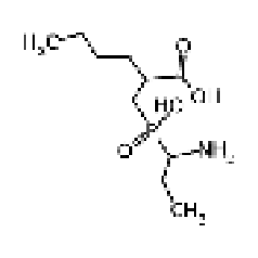 CCCCC(CP(=O)(O)C(N)CC)C(=O)O